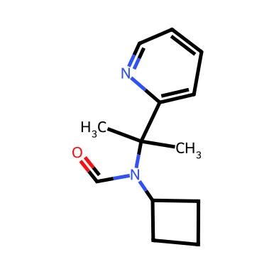 CC(C)(c1ccccn1)N(C=O)C1CCC1